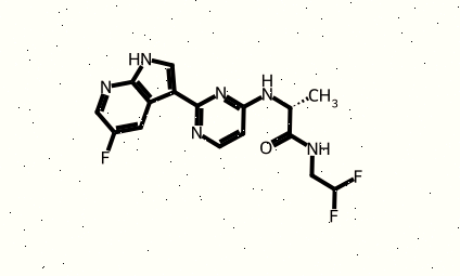 C[C@@H](Nc1ccnc(-c2c[nH]c3ncc(F)cc23)n1)C(=O)NCC(F)F